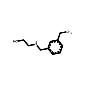 CCc1cccc(CNCCO)c1